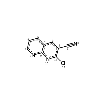 N#Cc1cc2cccnc2nc1Cl